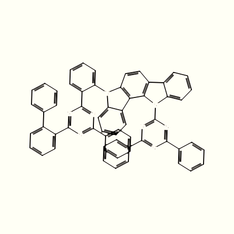 c1ccc(-c2nc(-c3ccccc3-c3ccccc3)nc(-c3ccccc3-n3c4ccccc4c4c3ccc3c5ccccc5n(-c5nc(-c6ccccc6)nc(-c6ccccc6)n5)c34)n2)cc1